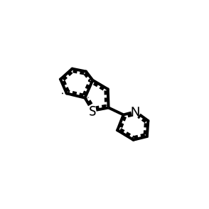 [c]1cccc2cc(-c3ccccn3)sc12